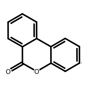 O=c1oc2c[c]ccc2c2ccccc12